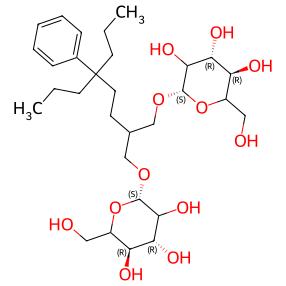 CCCC(CCC)(CCC(CO[C@H]1OC(CO)[C@H](O)[C@@H](O)C1O)CO[C@H]1OC(CO)[C@H](O)[C@@H](O)C1O)c1ccccc1